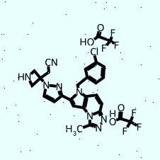 Cc1nnc2ccc3c(cc(-c4ccn(C5(CC#N)CNC5)n4)n3Cc3cccc(Cl)c3)n12.O=C(O)C(F)(F)F.O=C(O)C(F)(F)F